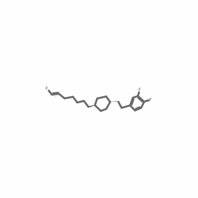 F/C=C/CCCCC[C@H]1CC[C@H](CCc2ccc(F)c(F)c2)CC1